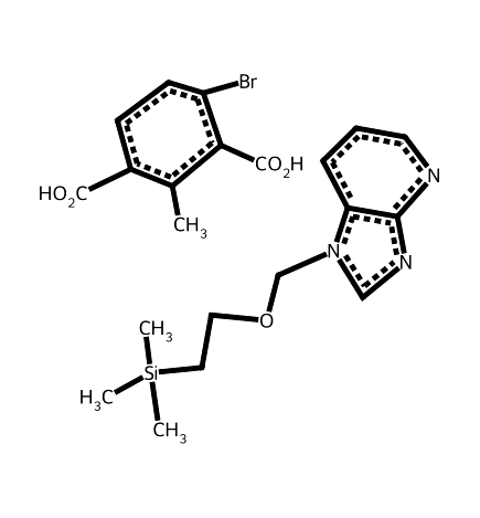 C[Si](C)(C)CCOCn1cnc2ncccc21.Cc1c(C(=O)O)ccc(Br)c1C(=O)O